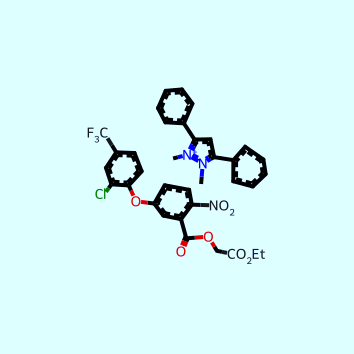 CCOC(=O)COC(=O)c1cc(Oc2ccc(C(F)(F)F)cc2Cl)ccc1[N+](=O)[O-].Cn1c(-c2ccccc2)cc(-c2ccccc2)[n+]1C